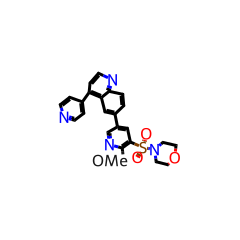 COc1ncc(-c2ccc3nccc(-c4ccncc4)c3c2)cc1S(=O)(=O)N1CCOCC1